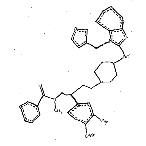 COc1ccc(C(CCN2CCC(Nc3nc4ccccc4n3Cc3ccoc3)CC2)CN(C)C(=O)c2ccccc2)cc1OC